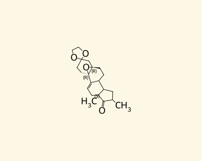 CC1CC2C3CC[C@@]45CC6(CC[C@@]4(O5)C3=CC[C@]2(C)C1=O)OCCO6